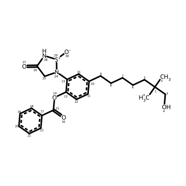 CC(C)(CO)CCCCCc1ccc(OC(=O)c2ccccc2)c(N2CC(=O)N[S+]2[O-])c1